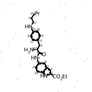 CCOC(=O)c1cc2cc(NC(=O)[C@@H](N)Cc3ccc(NCCC(C)C)cc3)ccc2[nH]1